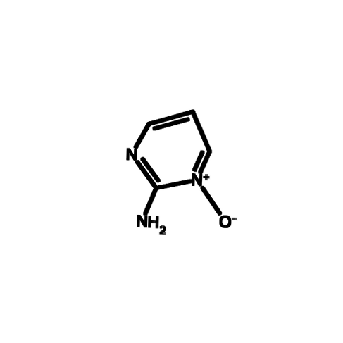 Nc1nccc[n+]1[O-]